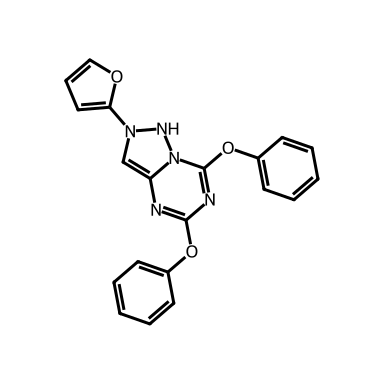 C1=C2N=C(Oc3ccccc3)N=C(Oc3ccccc3)N2NN1c1ccco1